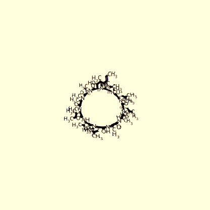 C/C=C/C[C@@H](C)[C@@H](O)[C@H]1C(=O)N[C@@H](CC)C(=O)N(C)[C@H](C)C(=O)N(C)[C@@H](C(C)CC)C(=O)N[C@@H](C(C)C)C(=O)N(C)[C@@H](CC(C)C)C(=O)N[C@@H](C)C(=O)N[C@H](C)C(=O)N(C)[C@@H](CC(C)C)C(=O)N(C)[C@@H](CC(C)C)C(=O)N(C)[C@@H](C(C)C)C(=O)N1C